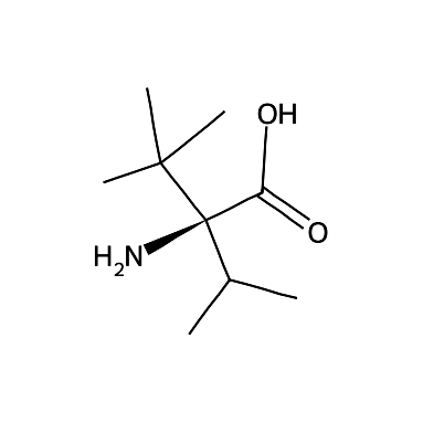 CC(C)[C@@](N)(C(=O)O)C(C)(C)C